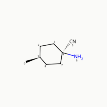 C[C@H]1CC[C@](N)(C#N)CC1